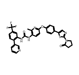 Cc1nc(Oc2ccc(-c3cnc(N4CCCC4=O)s3)cc2)ccc1NC(=O)Nc1cc(C(F)(F)F)ccc1-c1cccnc1